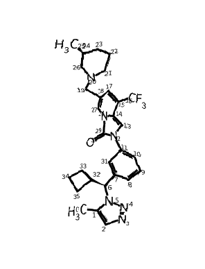 Cc1cnnn1[C@H](c1cccc(-n2cc3c(C(F)(F)F)cc(CN4CCC[C@H](C)C4)cn3c2=O)c1)C1CCC1